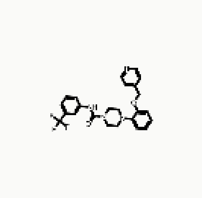 O=C(Nc1cccc(C(F)(F)F)c1)N1CCN(c2ccccc2OCc2ccncc2)CC1